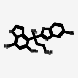 COc1cc(C)c2[nH]ccc2c1C(C)(CCC(=O)O)c1nc2cc(C#N)ccc2o1